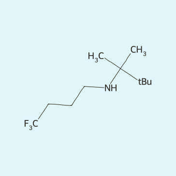 CC(C)(C)C(C)(C)NCCCC(F)(F)F